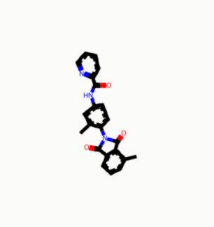 Cc1cc(NC(=O)c2ccccn2)ccc1N1C(=O)c2cccc(C)c2C1=O